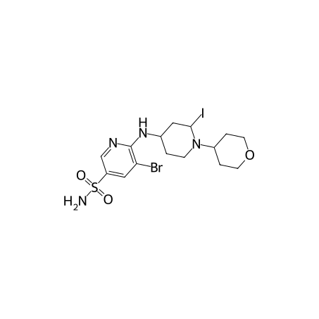 NS(=O)(=O)c1cnc(NC2CCN(C3CCOCC3)C(I)C2)c(Br)c1